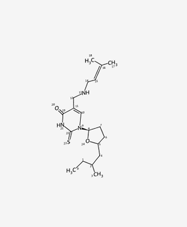 CCC(C)CC1CC[C@H](n2cc(CNCC=C(C)C)c(=O)[nH]c2=S)O1